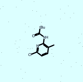 Cc1ccc(Cl)nc1NC(=O)C(C)(C)C